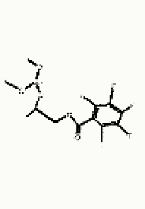 CO[SiH](OC)OC(C)COC(=O)c1c(F)c(F)c(F)c(F)c1F